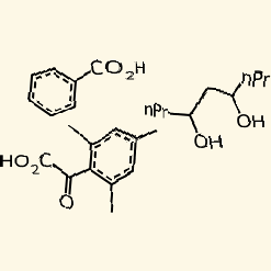 CCCC(O)CC(O)CCC.Cc1cc(C)c(C(=O)C(=O)O)c(C)c1.O=C(O)c1ccccc1